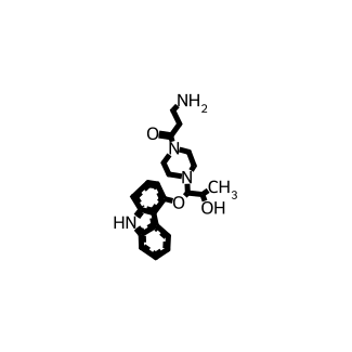 CC(O)C(Oc1cccc2[nH]c3ccccc3c12)N1CCN(C(=O)CCN)CC1